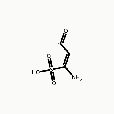 NC(=C[C]=O)S(=O)(=O)O